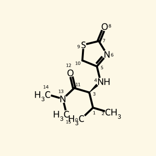 CC(C)[C@H](NC1=NC(=O)SC1)C(=O)N(C)C